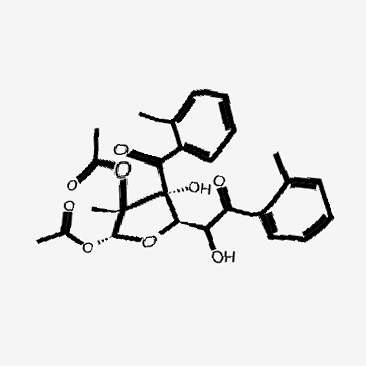 CC(=O)O[C@H]1O[C@H](C(O)C(=O)c2ccccc2C)[C@](O)(C(=O)c2ccccc2C)[C@@]1(C)OC(C)=O